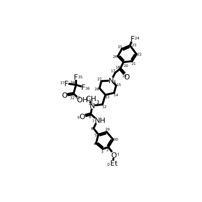 CCOc1ccc(CNC(=O)N(C)CC2CCN(CC(=O)c3ccc(F)cc3)CC2)cc1.O=C(O)C(F)(F)F